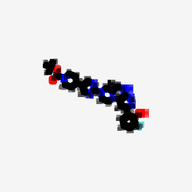 CC(C)(C)OC(=O)N1CCC(c2cnc(N3CCN4c5cc(-c6cccc(F)c6O)nnc5NC[C@@H]4C3)nc2)CC1